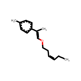 CC/C=C\CCO/C=C(\C)c1ccc(C)cc1